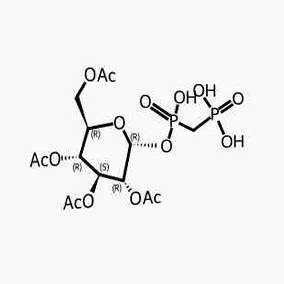 CC(=O)OC[C@H]1O[C@H](OP(=O)(O)CP(=O)(O)O)[C@H](OC(C)=O)[C@@H](OC(C)=O)[C@@H]1OC(C)=O